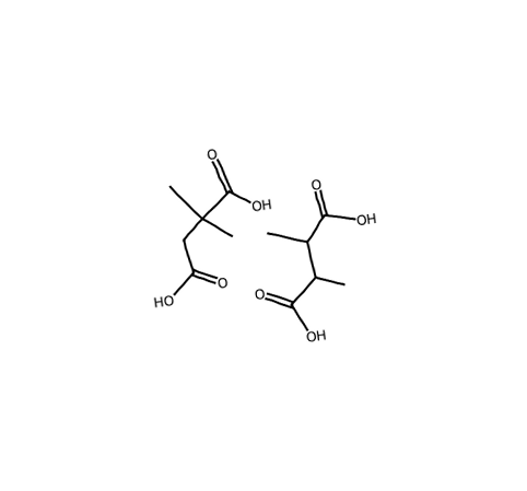 CC(C(=O)O)C(C)C(=O)O.CC(C)(CC(=O)O)C(=O)O